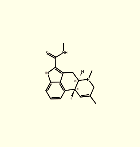 CNC(=S)c1[nH]c2cccc3c2c1C[C@@H]1[C@@H]3C=C(C)CN1C